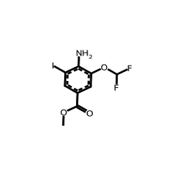 COC(=O)c1cc(I)c(N)c(OC(F)F)c1